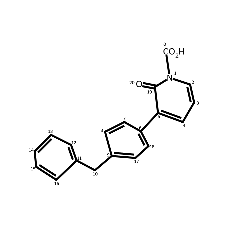 O=C(O)n1cccc(-c2ccc(Cc3ccccc3)cc2)c1=O